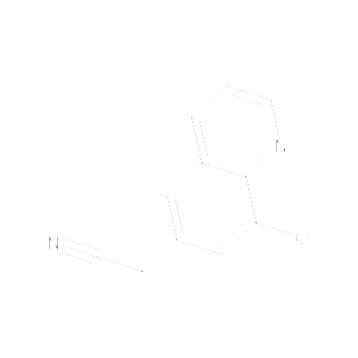 N#CCc1cc(Cl)c2ncccc2c1